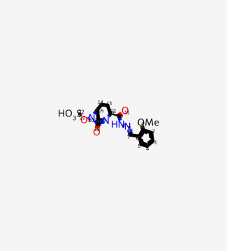 COc1ccccc1/C=N/NC(=O)[C@@H]1CCC2CN1C(=O)N2OS(=O)(=O)O